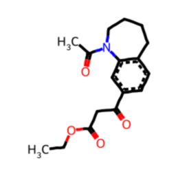 CCOC(=O)CC(=O)c1ccc2c(c1)N(C(C)=O)CCCC2